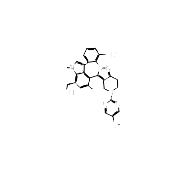 Cc1cccc(C)c1-n1nc2c(c1-c1c(F)cc(CO)c3c1ccn3C)CN(c1ncc(C(F)(F)F)cn1)CC2